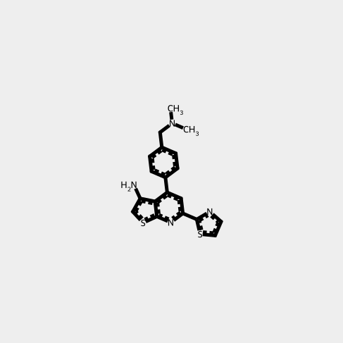 CN(C)Cc1ccc(-c2cc(-c3nccs3)nc3scc(N)c23)cc1